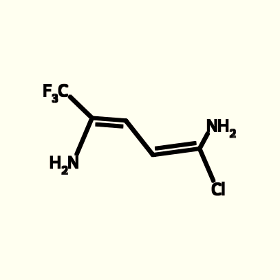 N/C(=C\C=C(/N)Cl)C(F)(F)F